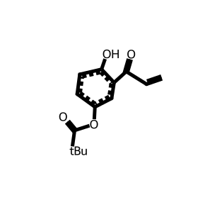 C=CC(=O)c1cc(OC(=O)C(C)(C)C)ccc1O